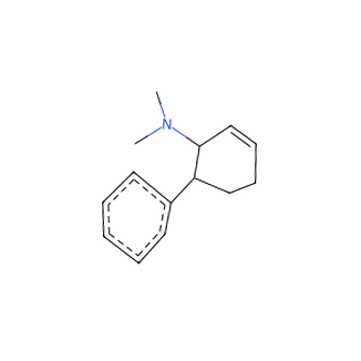 CN(C)C1C=CCCC1c1ccccc1